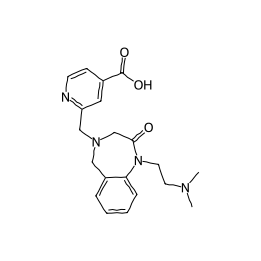 CN(C)CCN1C(=O)CN(Cc2cc(C(=O)O)ccn2)Cc2ccccc21